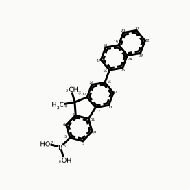 CC1(C)c2cc(B(O)O)ccc2-c2ccc(-c3ccc4ccccc4c3)cc21